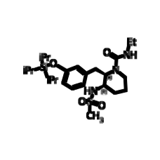 CCNC(=O)N1CCC[C@@H](NS(C)(=O)=O)[C@H]1Cc1cccc(O[Si](C(C)C)(C(C)C)C(C)C)c1